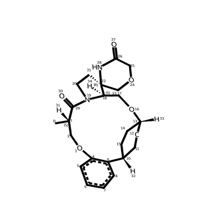 C[C@H]1COc2ccccc2[C@H]2CC[C@H](CC2)OC[C@H]2N(CC[C@]23COCC(=O)N3)C1=O